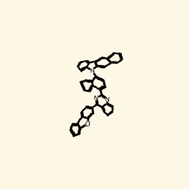 c1ccc2cc3c(cc2c1)c1ccccc1n3-c1ccc(-c2nc(-c3ccc4c(c3)oc3ccccc34)c3ccccc3n2)c2ccccc12